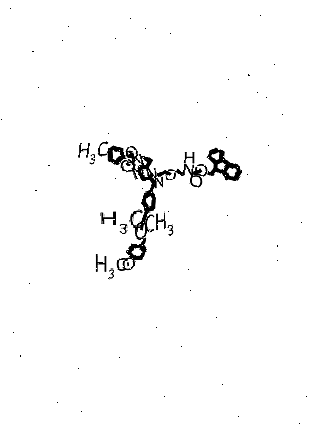 COc1ccc(COC(C)(C)c2ccc(-c3nc(COCCNC(=O)OCC4c5ccccc5-c5ccccc54)n4c3cnc3c4ccn3S(=O)(=O)c3ccc(C)cc3)cc2)cc1